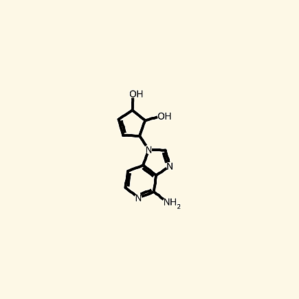 Nc1nccc2c1ncn2C1C=CC(O)C1O